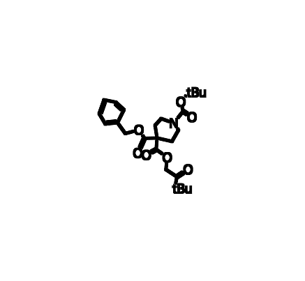 CC(C)(C)OC(=O)N1CCC(C(=O)OCC(=O)C(C)(C)C)(C(=O)OCc2ccccc2)CC1